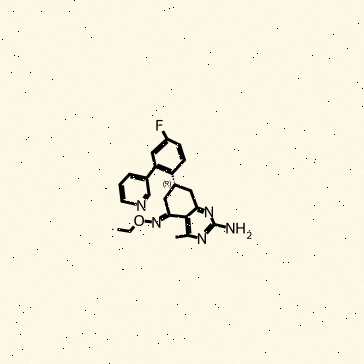 [CH2]CON=C1C[C@H](c2ccc(F)cc2-c2cccnc2)Cc2nc(N)nc(C)c21